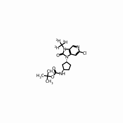 [2H]C([2H])([2H])n1c(=O)n([C@@H]2CC[C@@H](NC(=O)OC(C)(C)C)C2)c2cc(Cl)ncc21